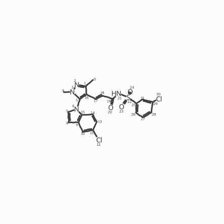 Cc1nn(C)c(-n2ccc3cc(Cl)ccc32)c1/C=C/C(=O)NS(=O)(=O)c1cccc(Cl)c1